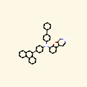 C1=Cc2c(oc3c(N(c4ccc(-c5ccccc5)cc4)c4ccc(-c5cc6ccccc6c6ccccc56)cc4)cccc23)CN1